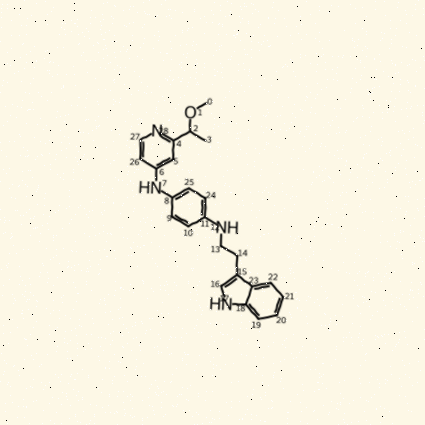 COC(C)c1cc(Nc2ccc(NCCc3c[nH]c4ccccc34)cc2)ccn1